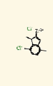 Cc1ccc(C)c2c1C=[C]([Zr+2])C2C.[Cl-].[Cl-]